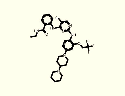 CCNC(=O)c1ccccc1Nc1nc(Nc2ccc(N3CCC(N4CCCCC4)CC3)cc2OCC(F)(F)F)ncc1Cl